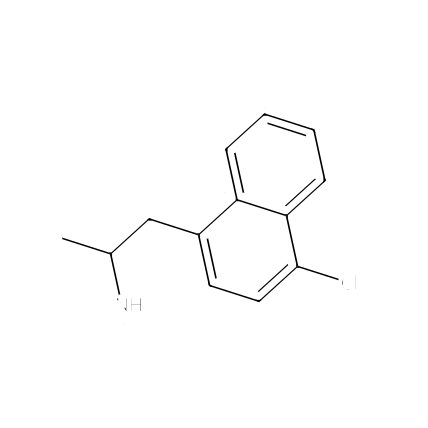 CC([NH])Cc1ccc(Cl)c2ccccc12